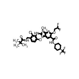 Cn1c(Nc2c(Cl)ccc(CNC(=O)C(C)(C)C)c2Cl)nc2cc(C(=O)N[C@H]3CC[C@H](C(F)(F)F)CC3)c(OCC(F)F)nc21